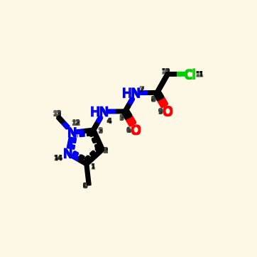 Cc1cc(NC(=O)NC(=O)CCl)n(C)n1